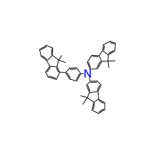 CC1(C)c2ccccc2-c2ccc(N(c3ccc(-c4cccc5c4C(C)(C)c4ccccc4-5)cc3)c3ccc4c(c3)C(C)(C)c3ccccc3-4)cc21